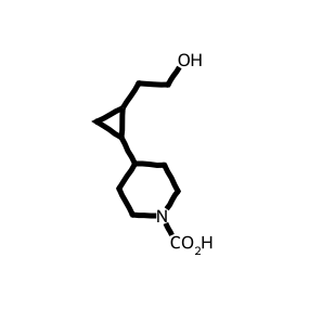 O=C(O)N1CCC(C2CC2CCO)CC1